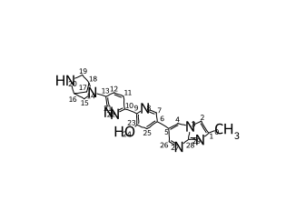 Cc1cn2cc(-c3cnc(-c4ccc(N5CC6CC5CN6)nn4)c(O)c3)cnc2n1